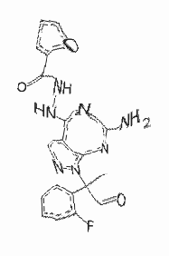 CC(C=O)(c1ccccc1F)n1ncc2c(NNC(=O)c3ccco3)nc(N)nc21